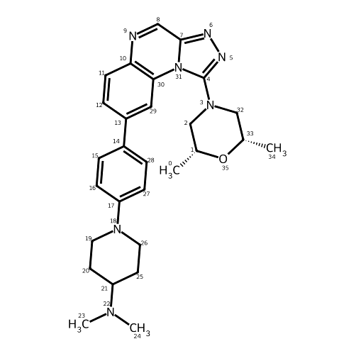 C[C@@H]1CN(c2nnc3cnc4ccc(-c5ccc(N6CCC(N(C)C)CC6)cc5)cc4n23)C[C@H](C)O1